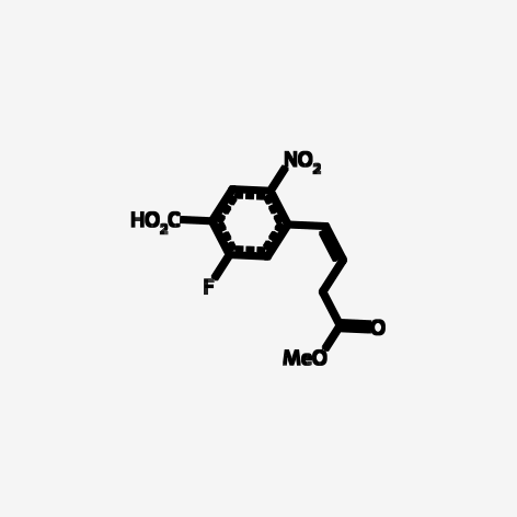 COC(=O)C/C=C\c1cc(F)c(C(=O)O)cc1[N+](=O)[O-]